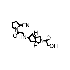 N#CC1CCCN1C(=O)CN[C@@H]1C[C@@H]2CN(C(=O)CO)C[C@@H]2C1